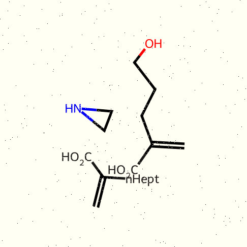 C1CN1.C=C(CCCCCCC)C(=O)O.C=C(CCCO)C(=O)O